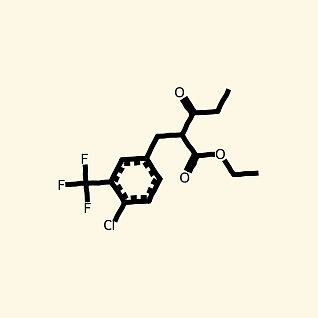 CCOC(=O)C(Cc1ccc(Cl)c(C(F)(F)F)c1)C(=O)CC